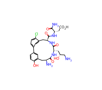 NC[C@H](O)C[C@@H]1NC(=O)[C@@H](N)Cc2cc(ccc2O)-c2ccc(Cl)c(c2)C[C@@H](C(=O)N[C@@H](CC(=O)O)C(N)=O)NC1=O